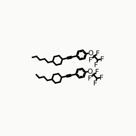 CCCCC1CCC(C#Cc2ccc(OC(F)(F)C(F)F)cc2)CC1.CCCCCC1CCC(C#Cc2ccc(OC(F)(F)C(F)F)cc2)CC1